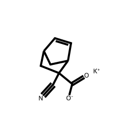 N#CC1(C(=O)[O-])CC2C=CC1C2.[K+]